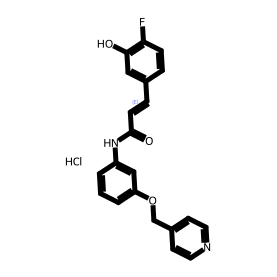 Cl.O=C(/C=C/c1ccc(F)c(O)c1)Nc1cccc(OCc2ccncc2)c1